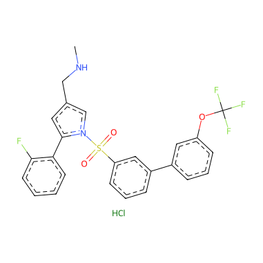 CNCc1cc(-c2ccccc2F)n(S(=O)(=O)c2cccc(-c3cccc(OC(F)(F)F)c3)c2)c1.Cl